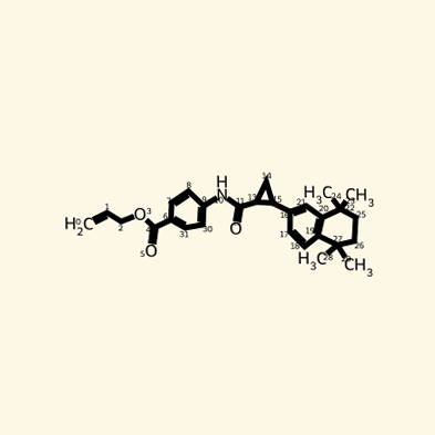 C=CCOC(=O)c1ccc(NC(=O)C2CC2c2ccc3c(c2)C(C)(C)CCC3(C)C)cc1